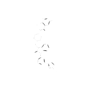 Cc1ncc(Cl)cc1C(=O)N[C@H]1CC[C@H](Cn2c(=O)n(-c3cncc(-c4ccn(C)n4)c3)c3ccccc32)CC1